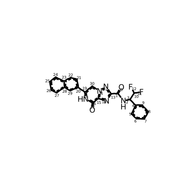 O=C(NC(c1ccccc1)C(F)F)c1nc2c(=O)[nH]c(-c3ccc4ccccc4c3)cn2n1